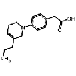 CCCC1=CCCN(c2ccc(CC(=O)O)cc2)C1